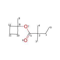 CCC(C)(C)C(=O)OC1(C)CCC1